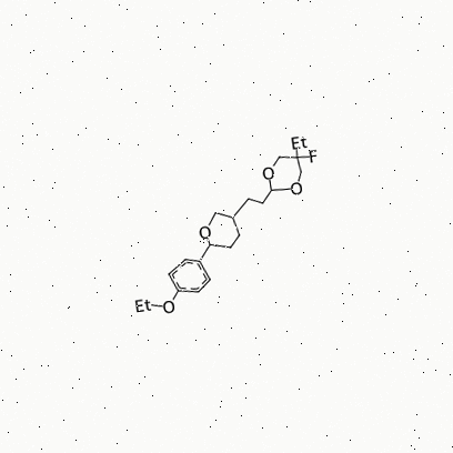 CCOc1ccc(C2CCC(CCC3OCC(F)(CC)CO3)CO2)cc1